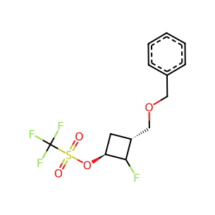 O=S(=O)(O[C@H]1C[C@H](COCc2ccccc2)C1F)C(F)(F)F